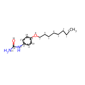 CCCCCCCCOc1ccc(NC(N)=O)cc1